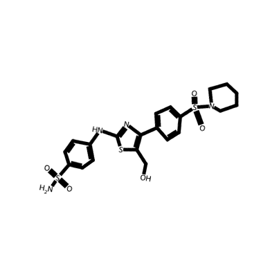 NS(=O)(=O)c1ccc(Nc2nc(-c3ccc(S(=O)(=O)N4CCCCC4)cc3)c(CO)s2)cc1